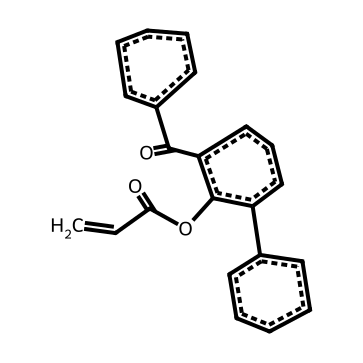 C=CC(=O)Oc1c(C(=O)c2ccccc2)cccc1-c1ccccc1